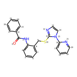 O=C(Nc1ccccc1CSc1nccn1-c1ccccn1)c1ccccc1